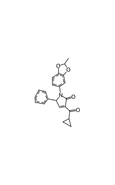 CC1Oc2ccc(N3C(=O)C(C(=O)C4CC4)=CC3c3ccccc3)cc2O1